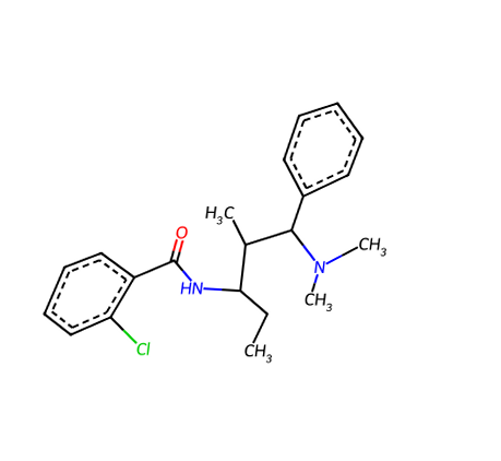 CCC(NC(=O)c1ccccc1Cl)C(C)C(c1ccccc1)N(C)C